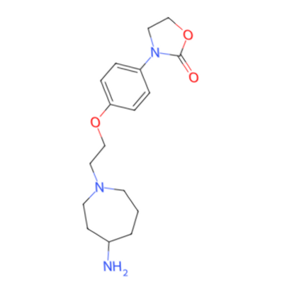 NC1CCCN(CCOc2ccc(N3CCOC3=O)cc2)CC1